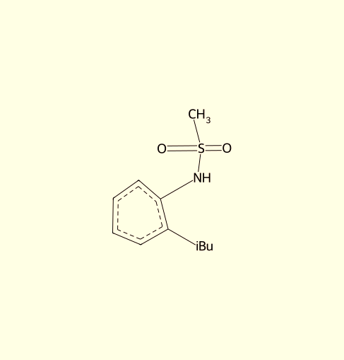 CCC(C)c1ccccc1NS(C)(=O)=O